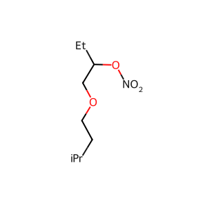 CCC(COCCC(C)C)O[N+](=O)[O-]